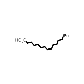 CCC(C)CCCC/C=C\CCCCCCC(=O)O